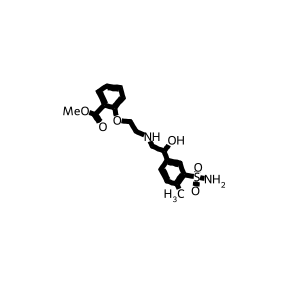 COC(=O)c1ccccc1OCCNCC(O)c1ccc(C)c(S(N)(=O)=O)c1